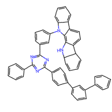 C1=CC2Nc3c(ccc4c5ccccc5n(-c5cccc(-c6nc(-c7ccccc7)nc(-c7ccc(-c8cccc(-c9ccccc9)c8)cc7)n6)c5)c34)C2C=C1